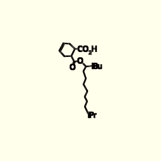 CCC(C)C(CCCCCCCC(C)C)OC(=O)C1CC=CCC1C(=O)O